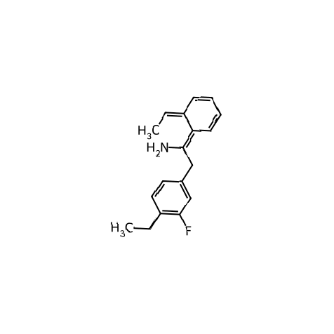 C/C=c1/cccc/c1=C(/N)Cc1ccc(CC)c(F)c1